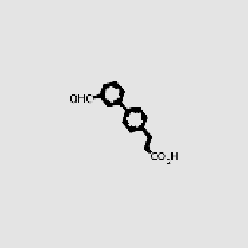 O=Cc1cccc(-c2ccc(CCC(=O)O)cc2)c1